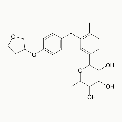 Cc1ccc(C2OC(C)C(O)C(O)C2O)cc1Cc1ccc(OC2CCOC2)cc1